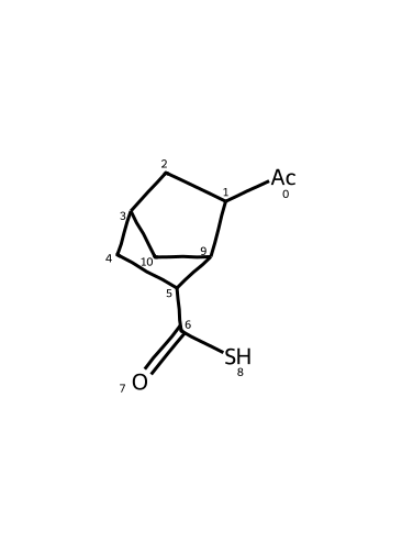 CC(=O)C1CC2CC(C(=O)S)C1C2